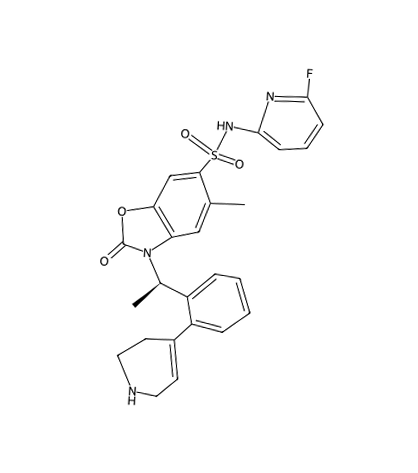 Cc1cc2c(cc1S(=O)(=O)Nc1cccc(F)n1)oc(=O)n2[C@H](C)c1ccccc1C1=CCNCC1